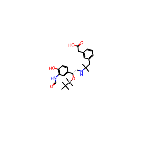 CC(C)(Cc1cccc(CC(=O)O)c1)NC[C@H](O[Si](C)(C)C(C)(C)C)c1ccc(O)c(NC=O)c1